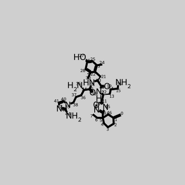 C=C1CCCC(CC)(c2noc([C@H](CCCN)NC(=O)[C@H](Cc3c(C)cc(O)cc3C)NC(=O)[C@H](N)CCCn3ccnc3N)n2)C1